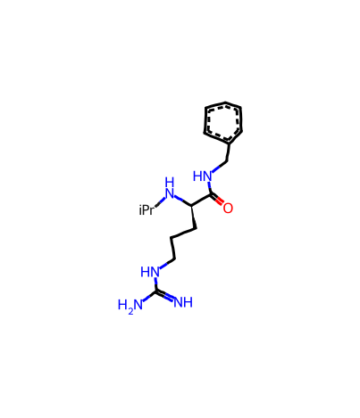 CC(C)N[C@H](CCCNC(=N)N)C(=O)NCc1ccccc1